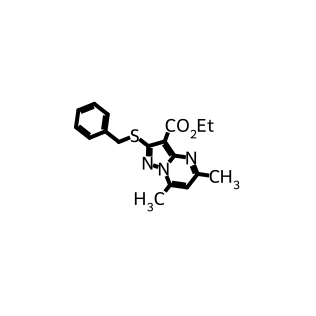 CCOC(=O)c1c(SCc2ccccc2)nn2c(C)cc(C)nc12